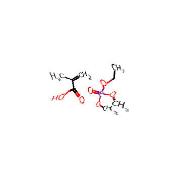 C=C(C)C(=O)O.CCOP(=O)(OC)OC